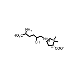 C[N+]1(C)CCC[C@H]1C(=O)[O-].NCC(O)CCC(N)C(=O)O